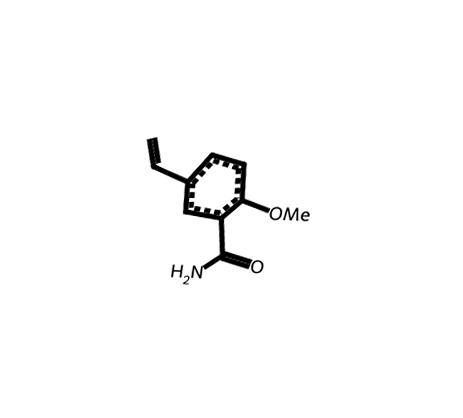 C=Cc1ccc(OC)c(C(N)=O)c1